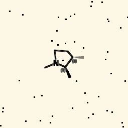 C[C@@H]1[C@@H](C)CCN1C